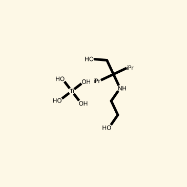 CC(C)C(CO)(NCCO)C(C)C.[OH][Ti]([OH])([OH])[OH]